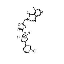 Cc1cncc2ncn(Cc3nc([C@H]4[C@@H]5CN(c6cccc(Cl)c6)C[C@@H]54)no3)c(=O)c12